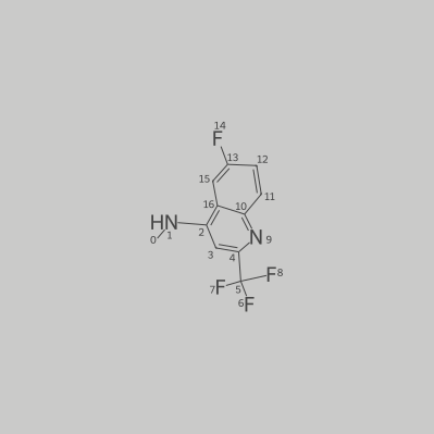 CNc1cc(C(F)(F)F)nc2ccc(F)cc12